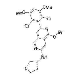 COc1cc(OC)c(Cl)c(-c2cc3cnc(NC4CCOC4)cc3c(OC(C)C)n2)c1Cl